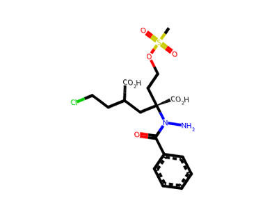 CS(=O)(=O)OCC[C@](CC(CCCl)C(=O)O)(C(=O)O)N(N)C(=O)c1ccccc1